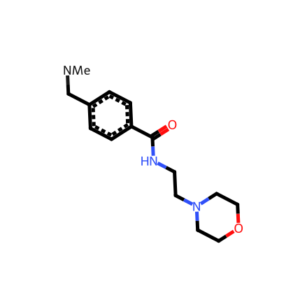 CNCc1ccc(C(=O)NCCN2CCOCC2)cc1